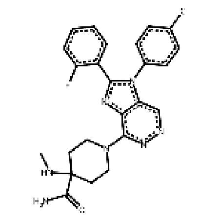 CNC1(C(N)=O)CCN(c2nncc3c2nc(-c2ccccc2F)n3-c2ccc(Cl)cc2)CC1